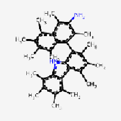 Cc1c(C)c(C)c2c([nH]c3c(-c4c(C)c(N)c(C)c5c(C)c(C)c(C)c(C)c45)c(C)c(C)c(C)c32)c1C